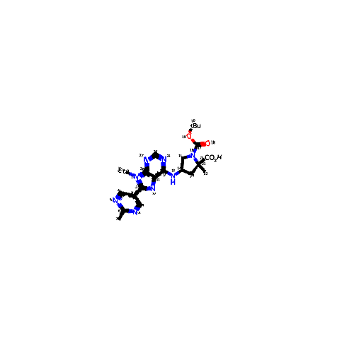 CCn1c(-c2cnc(C)nc2)nc2c(NC3CN(C(=O)OC(C)(C)C)C(C)(C(=O)O)C3)ncnc21